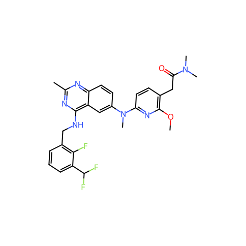 COc1nc(N(C)c2ccc3nc(C)nc(NCc4cccc(C(F)F)c4F)c3c2)ccc1CC(=O)N(C)C